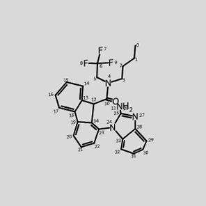 CCCCN(CC(F)(F)F)C(=O)C1c2ccccc2-c2cccc(-n3c(N)nc4ccccc43)c21